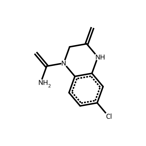 C=C1CN(C(=C)N)c2ccc(Cl)cc2N1